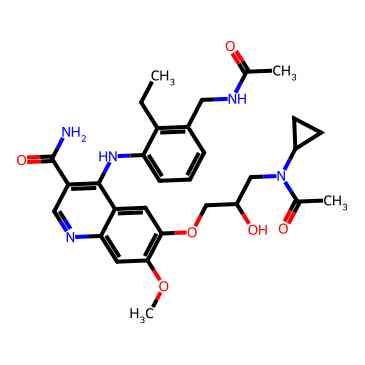 CCc1c(CNC(C)=O)cccc1Nc1c(C(N)=O)cnc2cc(OC)c(OCC(O)CN(C(C)=O)C3CC3)cc12